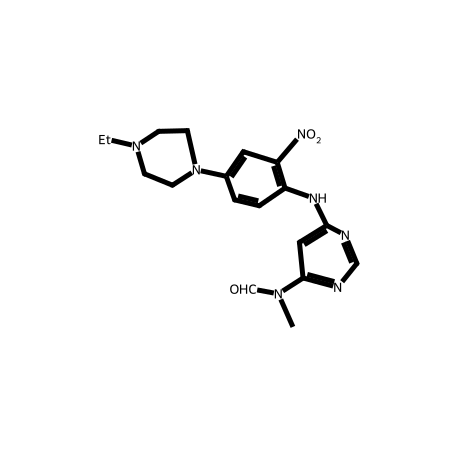 CCN1CCN(c2ccc(Nc3cc(N(C)C=O)ncn3)c([N+](=O)[O-])c2)CC1